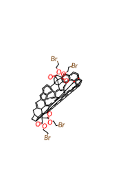 O=C(OCCBr)C1(C(=O)OCCBr)C23CCc4cc5cc6c7c8c9c%10c%11c%12c%13c(cc%14ccc2c2c%15c%16c%17c(c4C%1613)c5c7c9c%17c%11c%15c%13c%142)C=C1CC2CC8(C=C6)C23C(C(=O)OCCBr)(C(=O)OCCBr)C%103C1%12